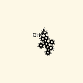 C=C/C=C(C=O)\C(=C/C)c1ccc2c3c(-c4ccccc4)c4c(cc5c6ccccc6c6cccc4c65)c(-c4ccccc4)c3c3cccc1c32